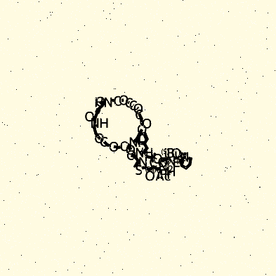 CCOC(=O)C(C)C[C@H](Cc1ccc2c(c1)NC(=O)CCOCCOCCNC(=O)C#CC(=O)NCCOCCOCCC(=O)O2)NC(=O)c1csc([C@@H](C[C@H](C(C)C)N(C)C(=O)[C@@H](NC(=O)[C@H]2CCCCN2C)[C@@H](C)CC)OC(C)=O)n1